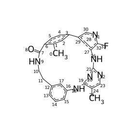 Cc1cc2ccc1C(=O)NCCc1cccc(c1)Nc1nc(ncc1C)Nc1cc-2cnc1F